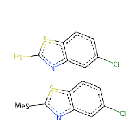 CSc1nc2cc(Cl)ccc2s1.Sc1nc2cc(Cl)ccc2s1